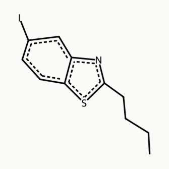 CCCCc1nc2cc(I)ccc2s1